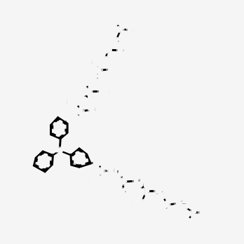 OB(O)O.OB(O)O.OB(O)O.OB(O)O.OB(O)O.OB(O)O.OB(O)O.OB(O)O.OB(O)O.OB(O)O.c1ccc(P(c2ccccc2)c2ccccc2)cc1